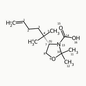 C=CCCC(C)(C)[C@H]1COC(C)(C)N1C(=O)O